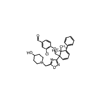 CC1(C)C(c2ccccc2)=CC=CC1(COc1ccc(C=O)cc1Cl)c1noc(CN2CCC(O)CC2)n1